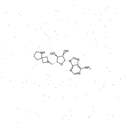 Nc1ncnc2c1ncn2[C@@H]1O[C@H](CN2CC3(CCCN3)C2)[C@@H](O)[C@H]1O